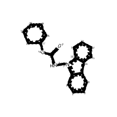 O=C(Nn1c2ccccc2c2ccccc21)Oc1ccccc1